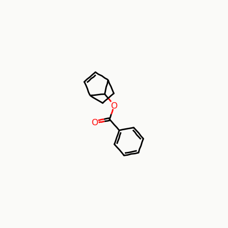 O=C(OC1C2C=CC1CC2)c1ccccc1